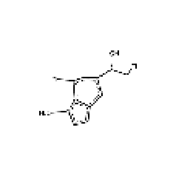 Cn1ccc2cc([C@H](O)CCl)cc(Cl)c21